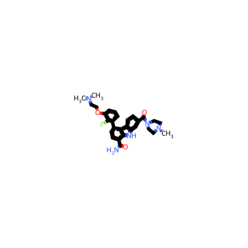 CN(C)CCOc1cccc(-c2ccc(C(N)=O)c3[nH]c4cc(C(=O)N5CCN(C)CC5)ccc4c23)c1F